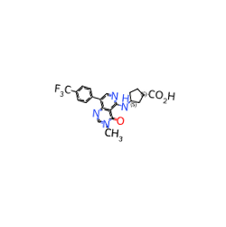 Cn1cnc2c(-c3ccc(C(F)(F)F)cc3)cnc(N[C@H]3CC[C@H](C(=O)O)C3)c2c1=O